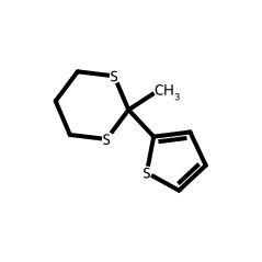 CC1(c2cccs2)SCCCS1